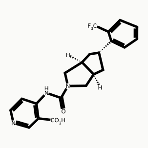 O=C(O)c1cnccc1NC(=O)N1C[C@H]2C[C@H](c3ccccc3C(F)(F)F)C[C@H]2C1